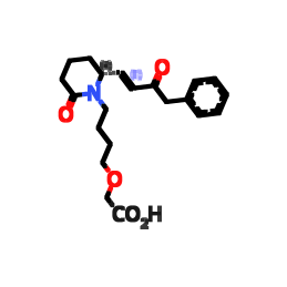 O=C(O)COCCCCN1C(=O)CCC[C@@H]1/C=C/C(=O)Cc1ccccc1